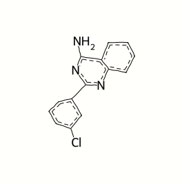 Nc1nc(-c2cccc(Cl)c2)nc2ccccc12